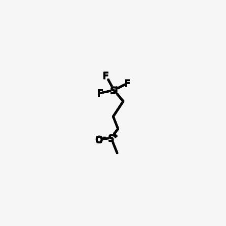 C[S+]([O-])CCC[Si](F)(F)F